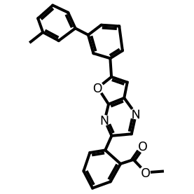 COC(=O)c1ccccc1-c1cnc2cc(-c3cccc(-c4cccc(C)c4)c3)oc2n1